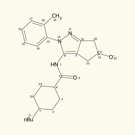 CCCCC1CCC(C(=O)Nc2c3c(nn2-c2ccccc2C)C[S+]([O-])C3)CC1